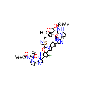 COC(=O)NC(C(=O)N1CCC[C@H]1c1ncc(-c2ccc3c(c2)cc2n3C(c3cnc(CC(C)C)s3)Oc3cc(-c4cnc([C@@H]5CCCN5C(=O)[C@@H](NC(=O)OC)C(C)C)[nH]4)cc(F)c3-2)[nH]1)C1CCOC(C)(C)C1